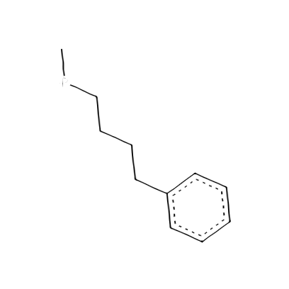 C[P]CCCCc1ccccc1